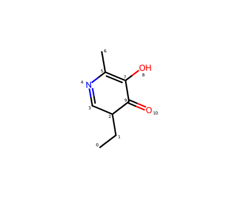 CCC1C=NC(C)=C(O)C1=O